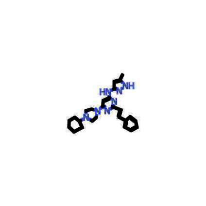 Cc1cc(Nc2cc(N3CCN(C4CCCCC4)CC3)nc(C=Cc3ccccc3)n2)n[nH]1